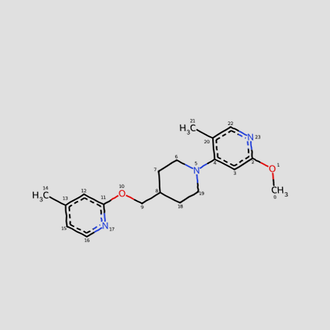 COc1cc(N2CCC(COc3cc(C)ccn3)CC2)c(C)cn1